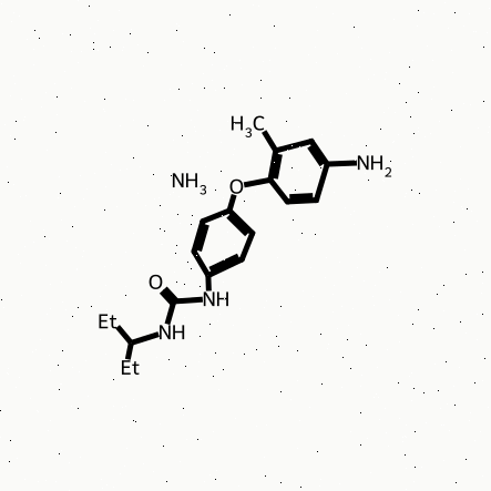 CCC(CC)NC(=O)Nc1ccc(Oc2ccc(N)cc2C)cc1.N